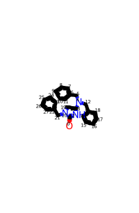 O=c1[nH]c(N(Cc2ccccc2)Cc2ccccc2)cn1Cc1ccccc1